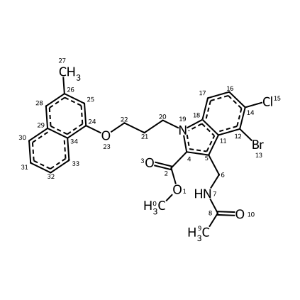 COC(=O)c1c(CNC(C)=O)c2c(Br)c(Cl)ccc2n1CCCOc1cc(C)cc2ccccc12